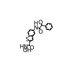 O=C(Nc1ccc2sc(C(=O)NO)cc2c1)C(=O)c1ccccc1